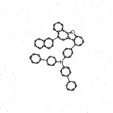 c1ccc(-c2ccc(N(c3ccc(-c4ccccc4)cc3)c3ccc(-c4cccc5oc6c7ccccc7c(-c7ccc8ccccc8c7)cc6c45)cc3)cc2)cc1